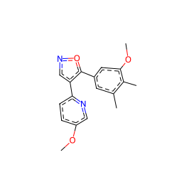 COc1ccc(-c2cnoc2-c2cc(C)c(C)c(OC)c2)nc1